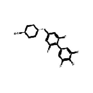 CCC[C@H]1CC[C@H](Cc2cc(F)c(-c3cc(F)c(F)c(F)c3)c(F)c2)CC1